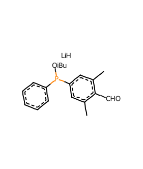 Cc1cc(P(OCC(C)C)c2ccccc2)cc(C)c1C=O.[LiH]